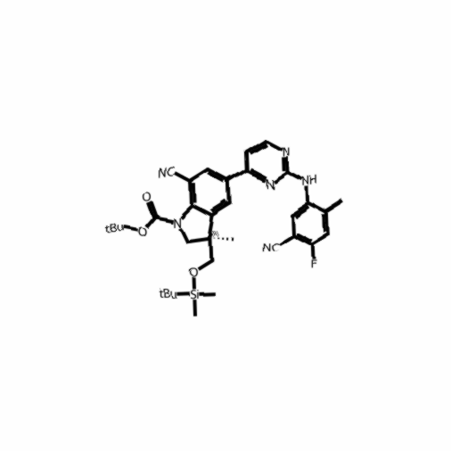 Cc1cc(F)c(C#N)cc1Nc1nccc(-c2cc(C#N)c3c(c2)[C@@](C)(CO[Si](C)(C)C(C)(C)C)CN3C(=O)OC(C)(C)C)n1